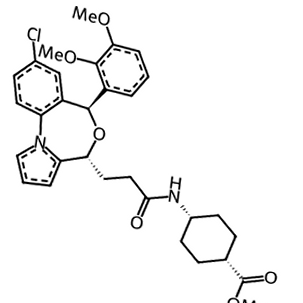 COc1cccc([C@H]2O[C@H](CCC(=O)N[C@H]3CC[C@@H](C(=O)OC)CC3)c3cccn3-c3ccc(Cl)cc32)c1OC